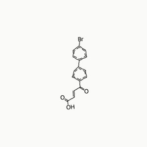 O=C(O)C=CC(=O)c1ccc(-c2ccc(Br)cc2)cc1